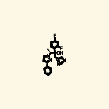 C[C@@H](n1ccc(-c2ccccc2)n1)[C@](O)(Cn1cncn1)c1ccc(F)cc1F